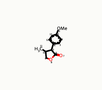 COc1ccc(C2C(=O)OCC2C)cc1